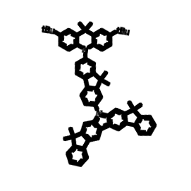 CC(C)(C)c1ccc2c(c1)C(C)(C)c1cc(C(C)(C)C)ccc1N2c1ccc2c(c1)C(C)(C)c1cc(-n3c4cc5c(cc4c4cc6c(cc43)C(C)(C)c3ccccc3-6)-c3ccccc3C5(C)C)ccc1-2